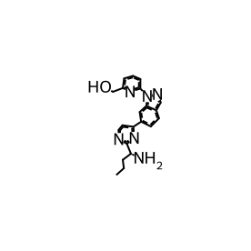 CCC[C@H](N)c1nccc(-c2ccc3cnn(-c4cccc(CO)n4)c3c2)n1